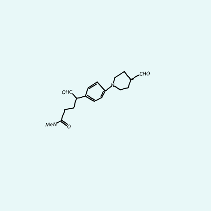 CNC(=O)CCC(C=O)c1ccc(N2CCC(C=O)CC2)cc1